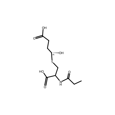 CCC(=O)NC(CS[C@@H](O)CCC(=O)O)C(=O)O